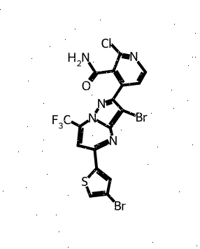 NC(=O)c1c(-c2nn3c(C(F)(F)F)cc(-c4cc(Br)cs4)nc3c2Br)ccnc1Cl